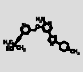 CN1CCC(c2ncc(-c3cnc(N)c(OCc4cncc(C#CC(C)(C)O)c4)c3)s2)CC1